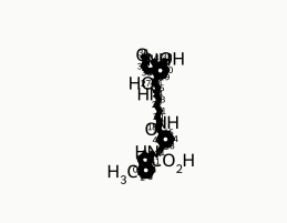 Cc1cccc2c1CCC2(NCc1cccc(C(=O)NCCCCNC[C@H](O)c2ccc(O)c3[nH]c(=O)ccc23)c1)C(=O)O